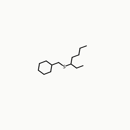 CCCCC(CC)SCC1CCCCC1